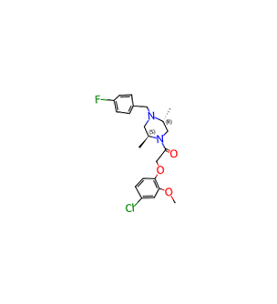 COc1cc(Cl)ccc1OCC(=O)N1C[C@@H](C)N(Cc2ccc(F)cc2)C[C@@H]1C